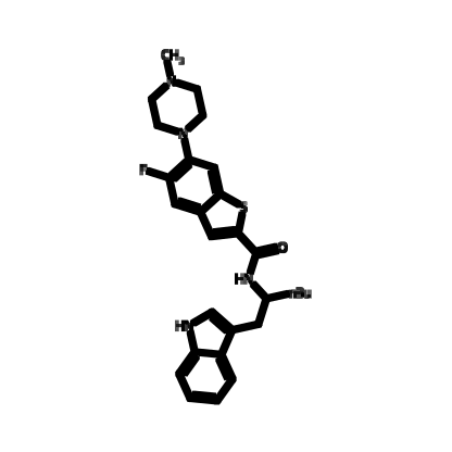 CCCCC(Cc1c[nH]c2ccccc12)NC(=O)c1cc2cc(F)c(N3CCN(C)CC3)cc2s1